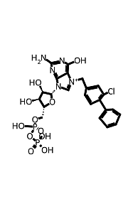 Nc1nc(O)c2c(n1)n([C@@H]1O[C@H](COP(=O)(O)OP(=O)(O)O)[C@@H](O)[C@H]1O)c[n+]2Cc1ccc(-c2ccccc2)c(Cl)c1